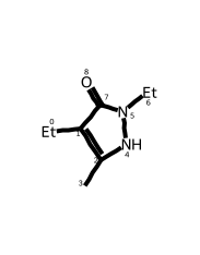 CCc1c(C)[nH]n(CC)c1=O